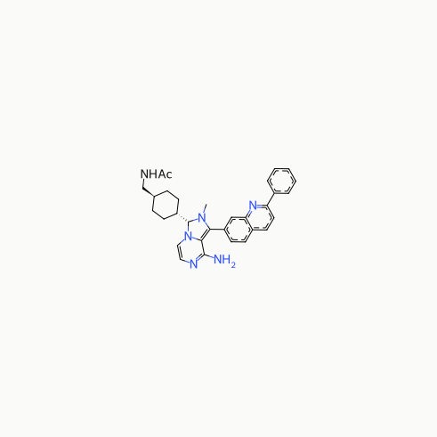 CC(=O)NC[C@H]1CC[C@H](C2N(C)C(c3ccc4ccc(-c5ccccc5)nc4c3)=C3C(N)=NC=CN32)CC1